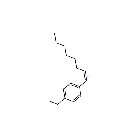 CCCCCC/C=[C]\c1ccc(CC)cc1